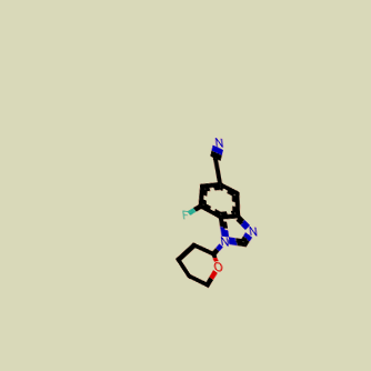 N#Cc1cc(F)c2c(c1)ncn2C1CCCCO1